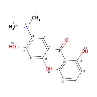 CN(C)c1cc(C(=O)c2ccccc2O)c(O)cc1O